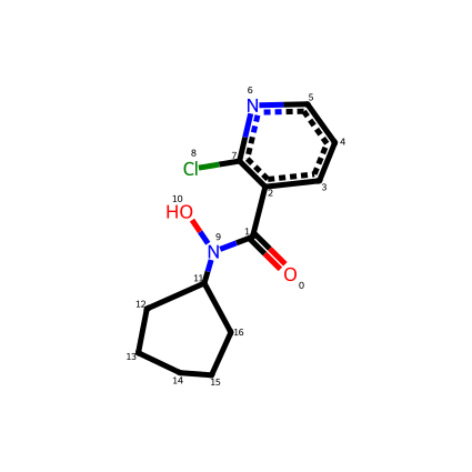 O=C(c1cccnc1Cl)N(O)C1CCCCC1